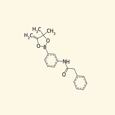 C=C1OB(c2cccc(NC(=O)Cc3ccccc3)c2)OC1(C)C